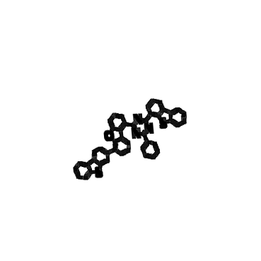 c1ccc(-c2nc(-c3cccc4c3sc3ccccc34)nc(-c3cccc4oc5c(-c6ccc7c(c6)sc6ccccc67)cccc5c34)n2)cc1